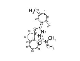 Cc1ccc(F)c(C2=NN(C(=O)N(C)C)C3(CCc4ccccc43)S2)c1